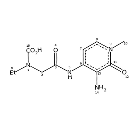 CCN(CC(=O)Nc1ccn(C)c(=O)c1N)C(=O)O